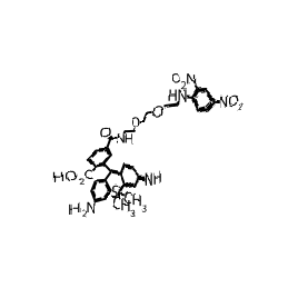 C[Si]1(C)C2=CC(=N)C=CC2=C(c2cc(C(=O)NCCOCCOCCNc3ccc([N+](=O)[O-])cc3[N+](=O)[O-])ccc2C(=O)O)c2ccc(N)cc21